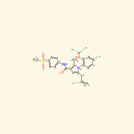 Cc1c(C(=O)Nc2ccc(S(C)(=O)=O)cc2)cc(C[C@@H](C)F)n1-c1ccc(F)cc1OC(F)F